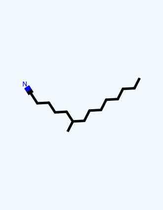 CCCCCCCCC(C)CCCCC#N